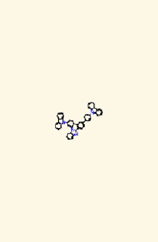 c1ccc2c(c1)nc1c3ccc(-c4ccc(-n5c6ccccc6c6ccccc65)cc4)cc3c3ccc(-n4c5ccccc5c5ccccc54)cc3n21